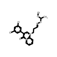 CCOC(C)ON=CCC[n+]1cc(-c2cc(Cl)cc(Cl)c2)c(=O)n2ccccc21